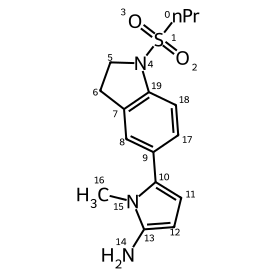 CCCS(=O)(=O)N1CCc2cc(-c3ccc(N)n3C)ccc21